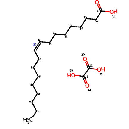 CCCCCCCC/C=C\CCCCCCCC(=O)O.O=C(O)C(=O)O